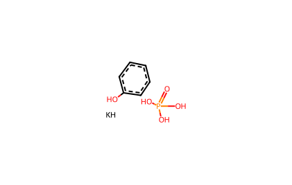 O=P(O)(O)O.Oc1ccccc1.[KH]